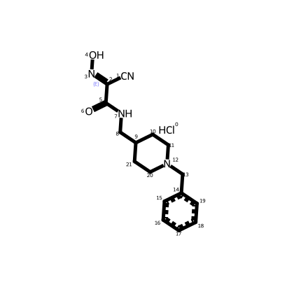 Cl.N#C/C(=N\O)C(=O)NCC1CCN(Cc2ccccc2)CC1